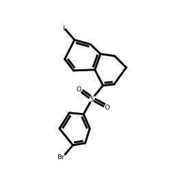 O=S(=O)(C1=CCCc2cc(I)ccc21)c1ccc(Br)cc1